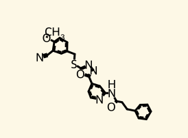 COc1ccc(CSc2nnc(-c3ccnc(NC(=O)CCc4ccccc4)c3)o2)cc1C#N